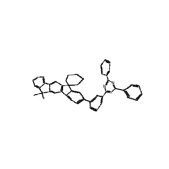 CC1(C)c2ccccc2-c2cc3c(cc21)-c1ccc(-c2cccc(-c4nc(-c5ccccc5)nc(-c5ccccc5)n4)c2)cc1C31CCCCC1